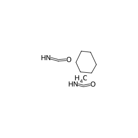 C.C1CCCCC1.N=C=O.N=C=O